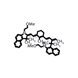 C/C=C(/C=C/C1=C(C)C(=C/C=C2/N(CCOC)c3ccc4ccccc4c3C2(C)C)/CCC1)C(C)(C)c1c(NCCOC)ccc2ccccc12